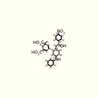 CC1(C(=O)O)C=CC=C(C(=O)O)C1.O=[N+]([O-])c1ccc(C(O)CN2CCC(Nc3ccccc3)CC2)cc1